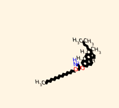 CCCCCCCCCCCCCCCCOCC(CN)O[C@H]1CC[C@@]2(C)C(=CC[C@H]3[C@@H]4CC[C@H]([C@H](C)CCCC(C)C)[C@@]4(C)CC[C@@H]32)C1